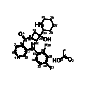 CC(=O)O.O=C(c1ccncc1Nc1ccc(I)cc1F)N1CC(O)(C2CCCCN2)C1